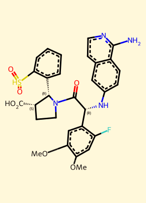 COc1cc(F)c([C@@H](Nc2ccc3c(N)nccc3c2)C(=O)N2CC[C@H](C(=O)O)[C@@H]2c2ccccc2[SH](=O)=O)cc1OC